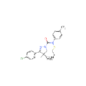 CCOC(=O)C1(C)CN(C(=O)N(SCCOC)c2ccc(C(F)(F)F)cc2)N=C1c1ccc(Cl)cc1